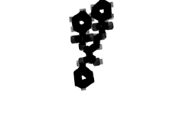 O=C(Oc1ccccc1)C(CCOS(=O)(=O)c1ccccc1)OS(=O)(=O)c1ccccc1